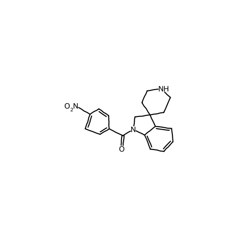 O=C(c1ccc([N+](=O)[O-])cc1)N1CC2(CCNCC2)c2ccccc21